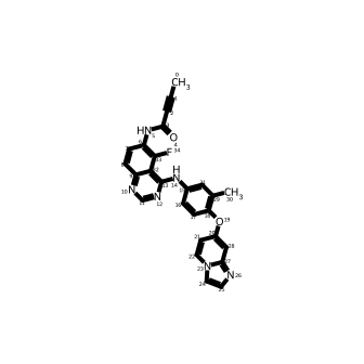 CC#CC(=O)Nc1ccc2ncnc(Nc3ccc(Oc4ccn5ccnc5c4)c(C)c3)c2c1F